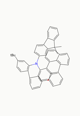 CC(C)(C)c1ccc(-c2ccccc2)c(N(c2ccc3c(c2)C(C)(C)c2ccccc2-3)c2ccccc2-c2cccc3cccc(-c4ccccc4)c23)c1